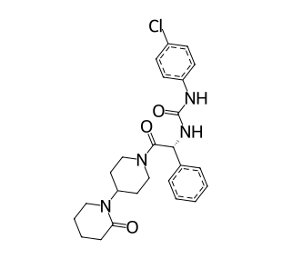 O=C(Nc1ccc(Cl)cc1)N[C@@H](C(=O)N1CCC(N2CCCCC2=O)CC1)c1ccccc1